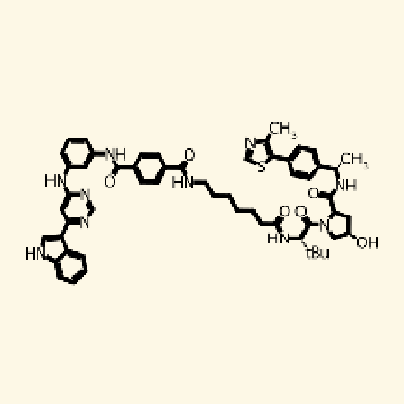 Cc1ncsc1-c1ccc([C@H](C)NC(=O)C2C[C@@H](O)CN2C(=O)[C@@H](NC(=O)CCCCCCNC(=O)c2ccc(C(=O)Nc3cccc(Nc4cc(-c5c[nH]c6ccccc56)ncn4)c3)cc2)C(C)(C)C)cc1